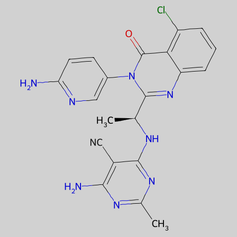 Cc1nc(N)c(C#N)c(N[C@@H](C)c2nc3cccc(Cl)c3c(=O)n2-c2ccc(N)nc2)n1